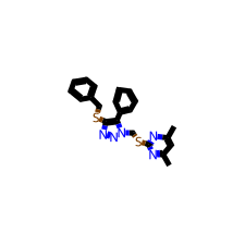 Cc1cc(C)nc(SCn2nnc(SCc3ccccc3)c2-c2ccccc2)n1